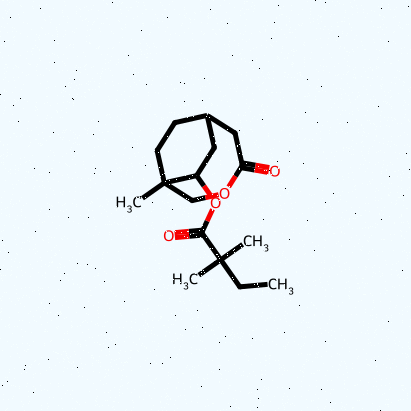 CCC(C)(C)C(=O)OC1CC2CCC1(C)COC(=O)C2